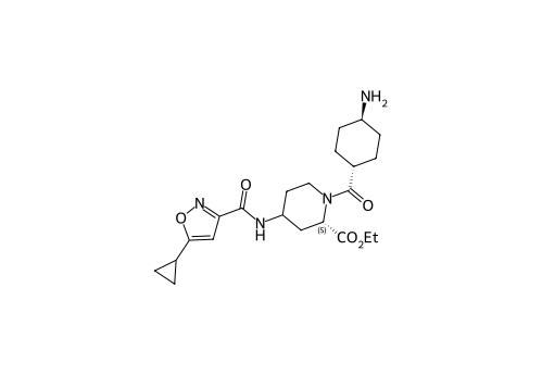 CCOC(=O)[C@@H]1CC(NC(=O)c2cc(C3CC3)on2)CCN1C(=O)[C@H]1CC[C@H](N)CC1